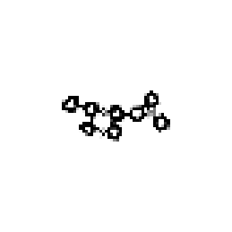 c1ccc(-c2ccc3c(c2)-c2ccccc2Sc2ccccc2-c2cc(-c4ccc5c(c4)c4ccccc4n5-c4ccccc4)ccc2S3)cc1